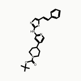 CC(C)(C)OC(=O)N1CCC(c2ccnc(Nc3ncc(C=Cc4ccccc4)s3)c2)CC1